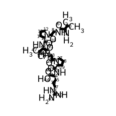 CC(C)[C@H](N)C(=O)NCC(=O)N1CCC[C@H]1C(=O)N[C@H](C(=O)NCC(=O)N1CCC[C@H]1C(=O)N[C@@H](CCCNC(=N)N)C(=O)O)C(C)C